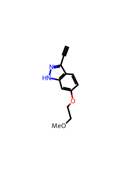 C#Cc1n[nH]c2cc(OCCOC)ccc12